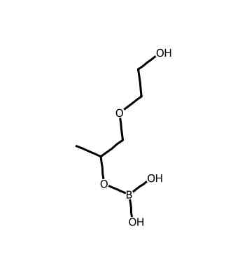 CC(COCCO)OB(O)O